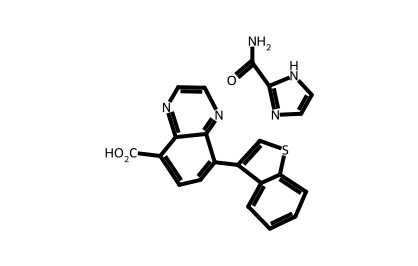 NC(=O)c1ncc[nH]1.O=C(O)c1ccc(-c2csc3ccccc23)c2nccnc12